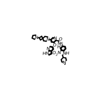 CN1CCC(CNc2ccc(SNC(=O)c3ncc(N4CCC5(CC4)CC(N4CCCC4)C5)cc3Oc3cnc4[nH]ccc4c3)cc2[N+](=O)[O-])CC1